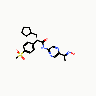 CC(=NO)c1cnc(NC(=O)[C@H](CC2CCCC2)c2ccc(S(C)(=O)=O)cc2)cn1